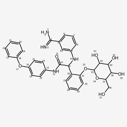 N=C(N)c1cccc(NC(C(=O)Nc2ccc(Oc3ccccc3)cc2)c2ccccc2OC2OC(CO)C(O)C(O)C2O)c1